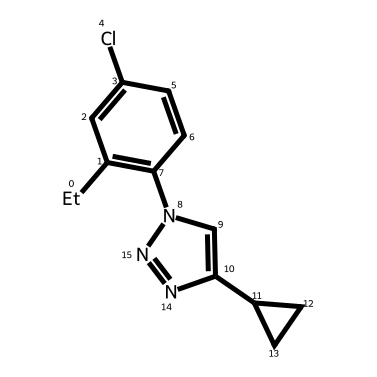 CCc1cc(Cl)ccc1-n1cc(C2CC2)nn1